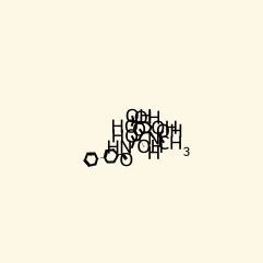 CC(O)N[C@H]1C([C@H](O)C(O)CNC(=O)[C@@H]2CC=C([C@H]3C=CC=CC3)CC2)O[C@@](O)(C(O)O)C[C@@H]1O